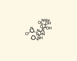 CNC(=O)[C@H]1O[C@@H](n2cnc3c(N[C@H](C)c4ccccc4)nc(-c4cncc(Cl)c4)nc32)[C@H](O)[C@@H]1O